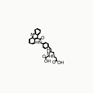 O=C(O)CNCC(Cc1ccc(NC(=O)c2c3ccccc3nc3ccccc23)cc1)NCC(=O)O